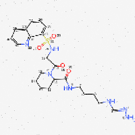 NN=CNCCCCNC(=O)C1CCCCN1C(=O)CNS(=O)(=O)c1cccc2cccnc12